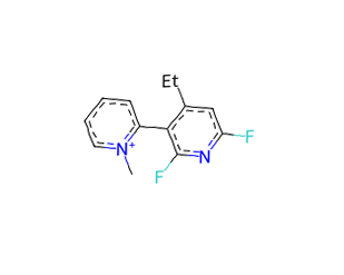 CCc1cc(F)nc(F)c1-c1cccc[n+]1C